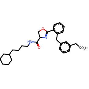 O=C(O)Cc1cccc(Cc2ccccc2C2=NC(C(=O)NCCCCC3CCCCC3)CO2)c1